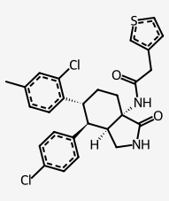 Cc1ccc([C@@H]2CC[C@@]3(NC(=O)Cc4ccsc4)C(=O)NC[C@H]3[C@H]2c2ccc(Cl)cc2)c(Cl)c1